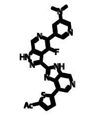 CC(=O)c1ccc(-c2cncc3[nH]c(-c4n[nH]c5cnc(-c6cncc(N(C)C)c6)c(F)c45)nc23)s1